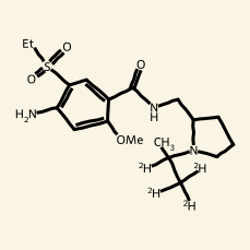 [2H]C([2H])([2H])C([2H])(C)N1CCCC1CNC(=O)c1cc(S(=O)(=O)CC)c(N)cc1OC